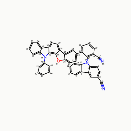 N#Cc1ccc2c(c1)c1ccccc1n2-c1c(C#N)cccc1-c1ccc2oc3c(ccc4c5ccccc5n(-c5ccccc5)c43)c2c1